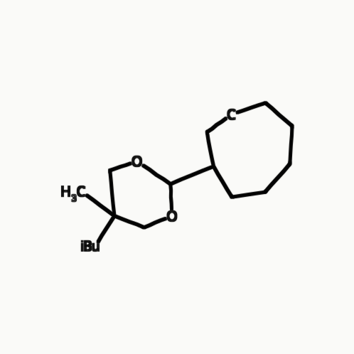 CCC(C)C1(C)COC(C2CCCCCCC2)OC1